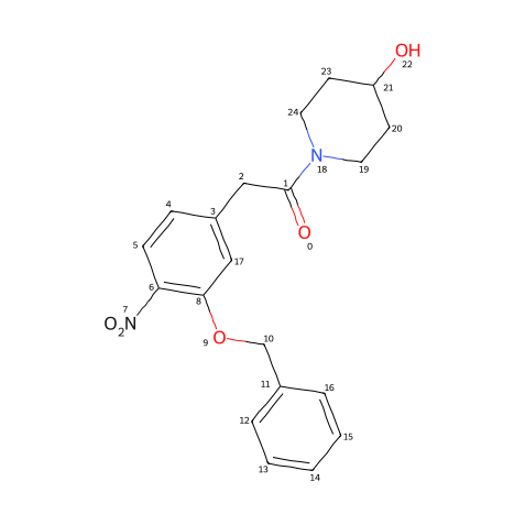 O=C(Cc1ccc([N+](=O)[O-])c(OCc2ccccc2)c1)N1CCC(O)CC1